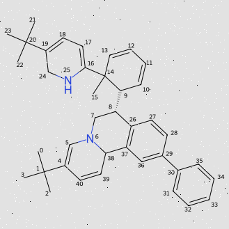 CC(C)(C)C1=CN2C[C@H](C3C=CC=CC3(C)C3=CC=C(C(C)(C)C)CN3)c3ccc(-c4ccccc4)cc3C2C=C1